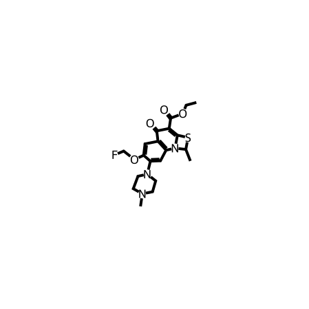 CCOC(=O)c1c2n(c3cc(N4CCN(C)CC4)c(OCF)cc3c1=O)C(C)S2